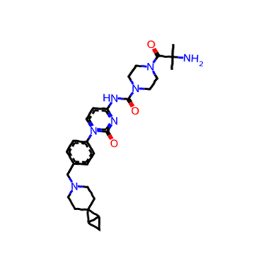 CC(C)(N)C(=O)N1CCN(C(=O)Nc2ccn(-c3ccc(CN4CCC5(CC4)C4CC45)cc3)c(=O)n2)CC1